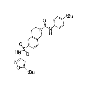 CC(C)(C)c1ccc(NC(=O)N2CCc3cc(S(=O)(=O)Nc4cc(C(C)(C)C)on4)ccc3C2)cc1